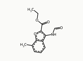 CCOC(=O)c1oc2c(C)cccc2c1NC=O